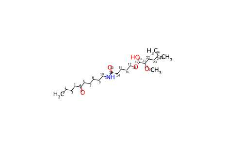 CCCCC(=O)CCCCCNC(=O)CCCCOC(O)C(CCC(C)C)OC